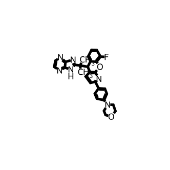 CC(C)(c1nc2nccnc2[nH]1)C1c2ccc(-c3ccc(N4CCOCC4)cc3)nc2Oc2c(F)cccc21